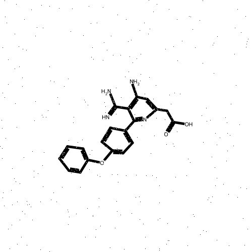 N=C(N)c1c(N)cc(CC(=O)O)nc1-c1ccc(Oc2ccccc2)cc1